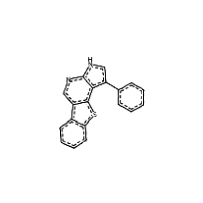 c1ccc(-c2c[nH]c3ncc4c5ccccc5sc4c23)cc1